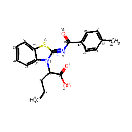 CCCC(C(=O)O)n1/c(=N/C(=O)c2ccc(C)cc2)sc2ccccc21